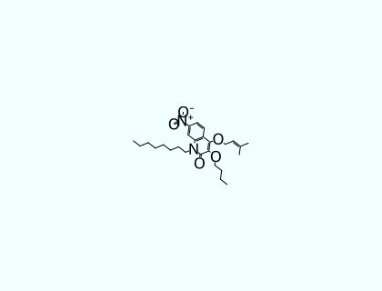 CCCCCCCCn1c(=O)c(OCCCC)c(OCC=C(C)C)c2ccc([N+](=O)[O-])cc21